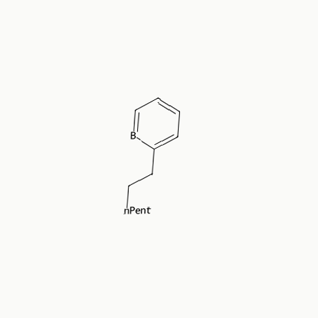 CCCCCCCc1bcccc1